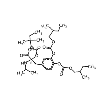 CCC(C)COC(=O)Oc1ccc(C[C@](NC(C)C)(OC(=O)OC(C)(C)CC)C(=O)O)cc1OC(=O)OCC(C)CC